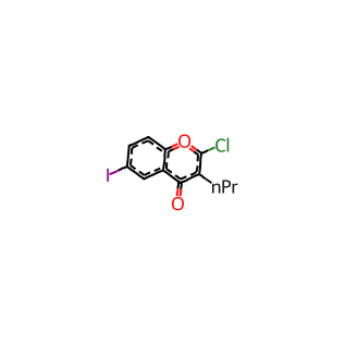 CCCc1c(Cl)oc2ccc(I)cc2c1=O